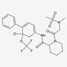 CN(CC(=O)N1CCCCC1C(=O)NC1=CC=C(c2ccccc2)C(Cl)(OC(F)(F)F)C1)S(C)(=O)=O